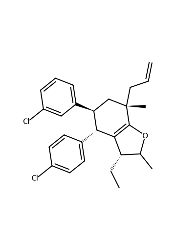 C=CC[C@@]1(C)C[C@H](c2cccc(Cl)c2)[C@@H](c2ccc(Cl)cc2)C2=C1OC(C)[C@@H]2CC